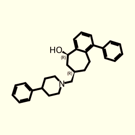 O[C@@H]1C[C@H](CN2CCC(c3ccccc3)CC2)CCc2c(-c3ccccc3)cccc21